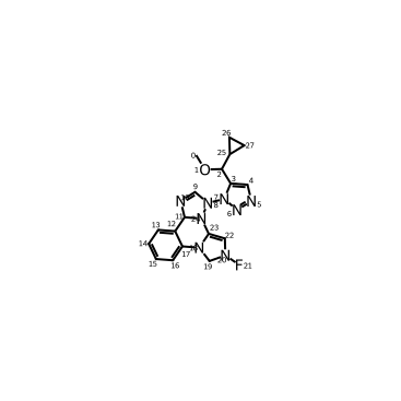 COC(c1cnnn1N1C=NC2c3ccccc3N3CN(F)C=C3N21)C1CC1